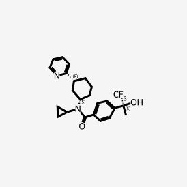 C[C@](O)(c1ccc(C(=O)N(C2CC2)[C@H]2CCC[C@@H](c3ccccn3)C2)cc1)C(F)(F)F